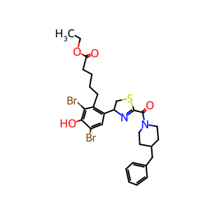 CCOC(=O)CCCCc1c(C2CSC(C(=O)N3CCC(Cc4ccccc4)CC3)=N2)cc(Br)c(O)c1Br